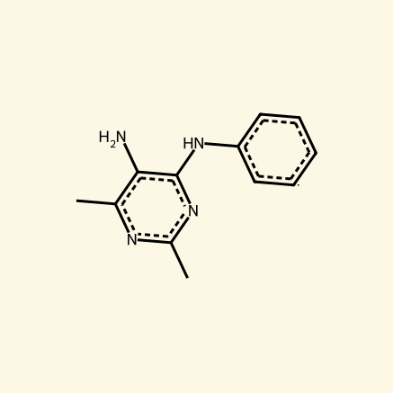 Cc1nc(C)c(N)c(Nc2c[c]ccc2)n1